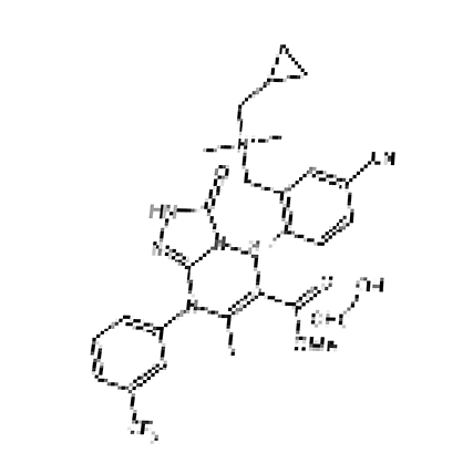 COC(=O)C1=C(C)N(c2cccc(C(F)(F)F)c2)c2n[nH]c(=O)n2[C@@H]1c1ccc(C#N)cc1C[N+](C)(C)CC1CC1.O=CO